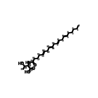 CCCCCC=CCC=CCC=CCC=CCCCC(=O)NC(C(=O)O)C(C)O